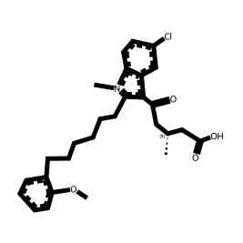 COc1ccccc1CCCCCCc1c(C(=O)C[C@@H](C)CC(=O)O)c2cc(Cl)ccc2n1C